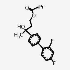 CC(C)C(=O)OCCC(C)(O)c1ccc(-c2ccc(F)cc2F)cc1